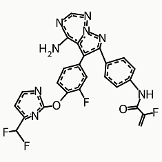 C=C(F)C(=O)Nc1ccc(-c2nn3ncnc(N)c3c2-c2ccc(Oc3nccc(C(F)F)n3)c(F)c2)cc1